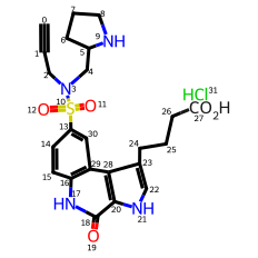 C#CCN(CC1CCCN1)S(=O)(=O)c1ccc2[nH]c(=O)c3[nH]cc(CCCC(=O)O)c3c2c1.Cl